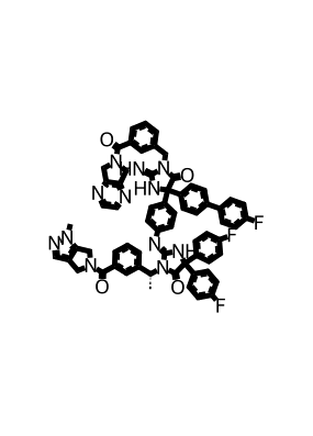 C[C@H](c1cccc(C(=O)N2Cc3cnn(C)c3C2)c1)N1C(=O)C(c2ccc(F)cc2)(c2ccc(F)cc2)N/C1=N\c1ccc(C2(c3ccc(-c4ccc(F)cc4)cc3)NC(=N)N(Cc3cccc(C(=O)N4Cc5nccnc5C4)c3)C2=O)cc1